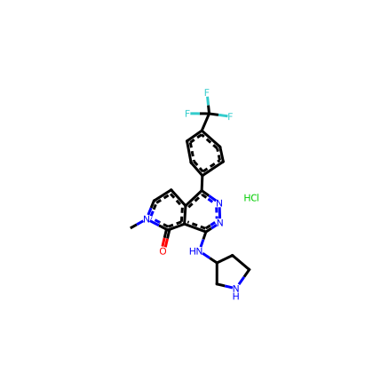 Cl.Cn1ccc2c(-c3ccc(C(F)(F)F)cc3)nnc(NC3CCNC3)c2c1=O